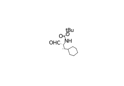 CC(C)(C)OC(=O)N[C@H]([CH]C1CCCCC1)C=O